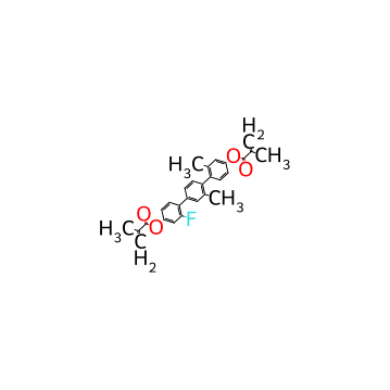 C=C(C)C(=O)Oc1ccc(-c2ccc(-c3ccc(OC(=O)C(=C)C)cc3F)cc2C)c(C)c1